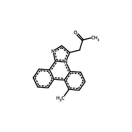 CC(=O)Cc1cnc2c3ccccc3c3c(C)cccc3n12